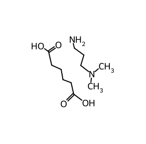 CN(C)CCCN.O=C(O)CCCCC(=O)O